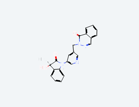 C[C@@]1(O)C(=O)N(c2cncc(Cn3ncc4ccccc4c3=O)c2)c2ccccc21